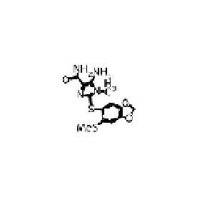 CSc1cc2c(cc1Sc1nc(C(N)=O)c(N)n1C)OCO2